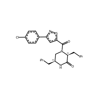 CC(C)C[C@H]1CN(C(=O)c2cc(-c3ccc(Cl)cc3)ns2)[C@@H](CC(C)C)C(=O)N1